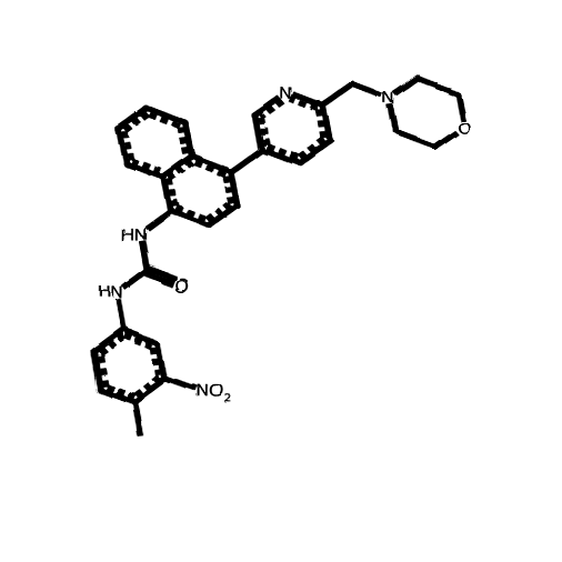 Cc1ccc(NC(=O)Nc2ccc(-c3ccc(CN4CCOCC4)nc3)c3ccccc23)cc1[N+](=O)[O-]